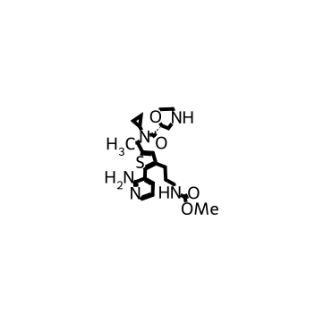 COC(=O)NCCCc1cc(C(C)N(C(=O)[C@H]2CNCCO2)C2CC2)sc1-c1cccnc1N